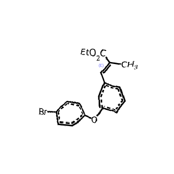 CCOC(=O)/C(C)=C/c1cccc(Oc2ccc(Br)cc2)c1